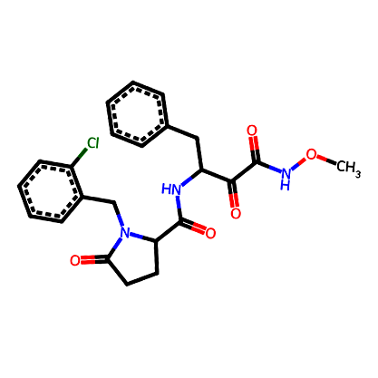 CONC(=O)C(=O)C(Cc1ccccc1)NC(=O)C1CCC(=O)N1Cc1ccccc1Cl